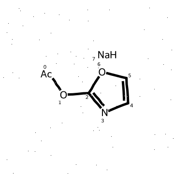 CC(=O)Oc1ncco1.[NaH]